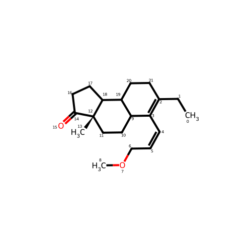 CCC1=C(/C=C\COC)C2CC[C@]3(C)C(=O)CCC3C2CC1